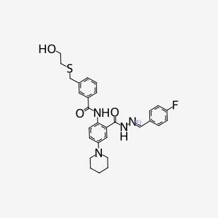 O=C(Nc1ccc(N2CCCCC2)cc1C(=O)N/N=C/c1ccc(F)cc1)c1cccc(CSCCO)c1